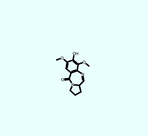 COc1cc2c(c(OC)c1O)N=CC1CCCN1C2=O